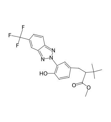 COC(=O)C(Cc1ccc(O)c(-n2nc3ccc(C(F)(F)F)cc3n2)c1)C(C)(C)C